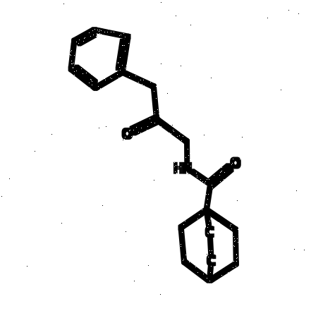 O=C(CNC(=O)C12CCC(CC1)CC2)Cc1ccccc1